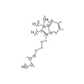 CC1=[N+](CCCCSOOO)c2ccccc2C1(C)C